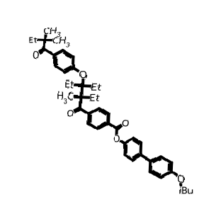 CCC(C)Oc1ccc(-c2ccc(OC(=O)c3ccc(C(=O)C(C)(CC)C(CC)(CC)Oc4ccc(C(=O)C(C)(C)CC)cc4)cc3)cc2)cc1